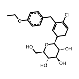 CCOc1ccc(CC2=CC([C@@H]3O[C@H](CO)[C@@H](O)[C@H](O)[C@H]3O)CC=C2Cl)cc1